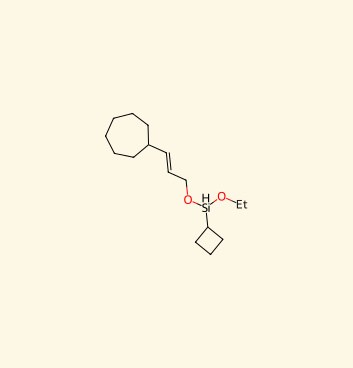 CCO[SiH](OCC=CC1CCCCCC1)C1CCC1